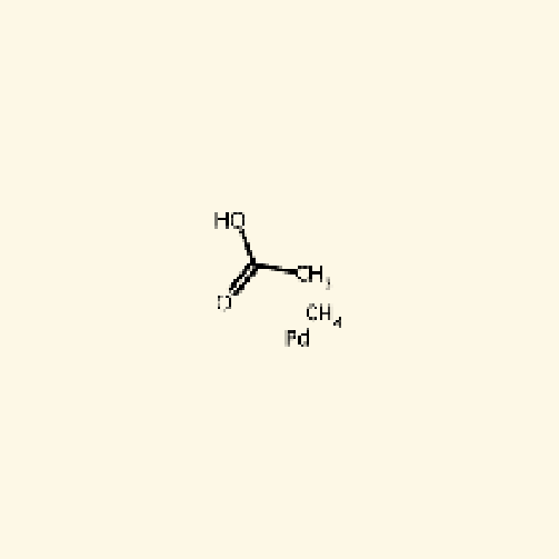 C.CC(=O)O.[Pd]